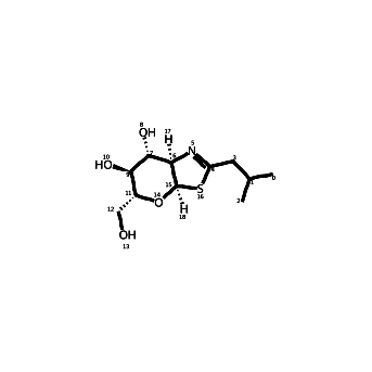 CC(C)CC1=N[C@@H]2[C@@H](O)[C@H](O)[C@@H](CO)O[C@@H]2S1